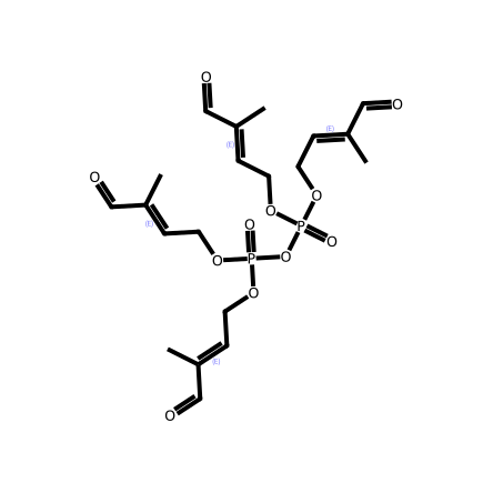 C/C(C=O)=C\COP(=O)(OC/C=C(\C)C=O)OP(=O)(OC/C=C(\C)C=O)OC/C=C(\C)C=O